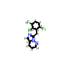 Fc1ccc(F)c(Cc2ncc3cccnn23)c1F